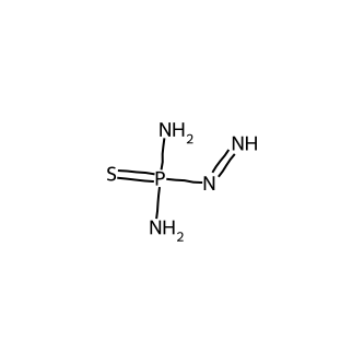 N=NP(N)(N)=S